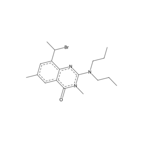 CCCN(CCC)c1nc2c(C(C)Br)cc(C)cc2c(=O)n1C